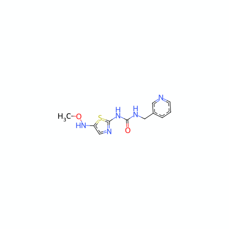 CONc1cnc(NC(=O)NCc2cccnc2)s1